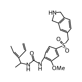 C=C/C(=C\C)C(C)NC(=O)Nc1ccc(S(=O)(=O)Cc2ccc3c(c2)CNC3)cc1OC